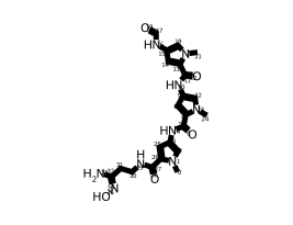 Cn1cc(NC(=O)c2cc(NC(=O)c3cc(NC=O)cn3C)cn2C)cc1C(=O)NCCC(N)=NO